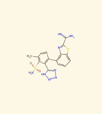 Cc1ccc(-c2cccc3sc(C(=N)N)nc23)c(-c2nnn[nH]2)c1S(N)(=O)=O